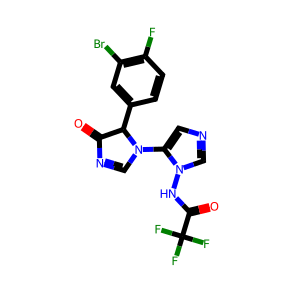 O=C1N=CN(c2cncn2NC(=O)C(F)(F)F)C1c1ccc(F)c(Br)c1